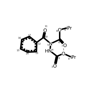 CC(C)OC(=O)NN(C(=O)OC(C)C)C(=O)c1ccccc1